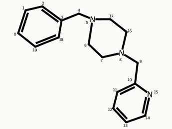 c1ccc(CN2CCN(Cc3ccccn3)CC2)cc1